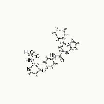 CC(=O)Nc1cc(Oc2ccc(NC(=O)c3cc(-c4ccccc4)n4nccc4n3)cc2)ccn1